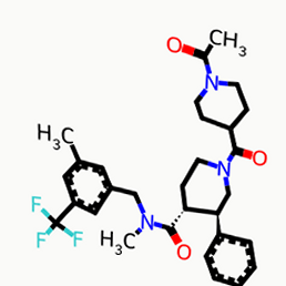 CC(=O)N1CCC(C(=O)N2CC[C@@H](C(=O)N(C)Cc3cc(C)cc(C(F)(F)F)c3)[C@H](c3ccccc3)C2)CC1